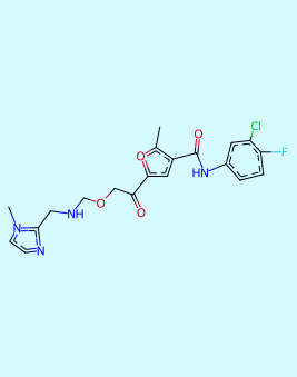 Cc1oc(C(=O)COCNCc2nccn2C)cc1C(=O)Nc1ccc(F)c(Cl)c1